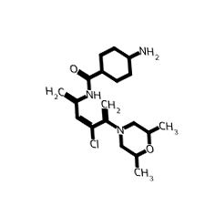 C=C(/C=C(/Cl)C(=C)N1CC(C)OC(C)C1)NC(=O)C1CCC(N)CC1